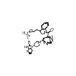 COCCC1CN(C(=O)c2cc(N3CCC(n4c(=O)[nH]c5ncccc54)CC3)ncn2)c2ccccc21